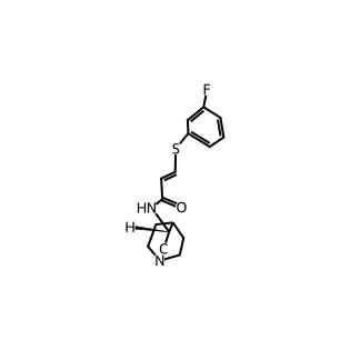 O=C(/C=C/Sc1cccc(F)c1)N[C@H]1CN2CCC1CC2